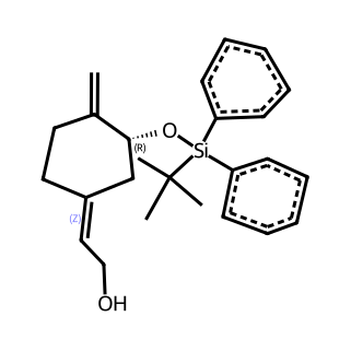 C=C1CC/C(=C/CO)C[C@H]1O[Si](c1ccccc1)(c1ccccc1)C(C)(C)C